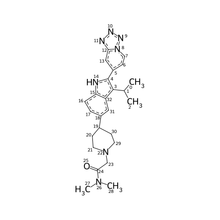 CC(C)c1c(-c2ccn3nnnc3c2)[nH]c2ccc(C3CCN(CC(=O)N(C)C)CC3)cc12